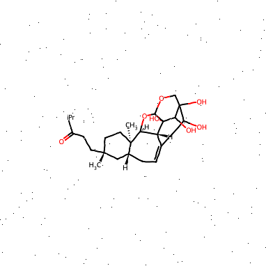 CC(C)C(=O)CC[C@]1(C)CC[C@]2(C)[C@H](CC=C3C(O)C4(O)COC5O[C@H]2[C@@H]3C5(O)C4O)C1